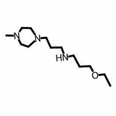 CCOCCCNCCCN1CCN(C)CC1